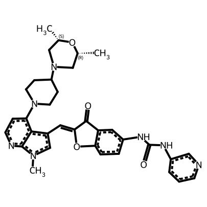 C[C@@H]1CN(C2CCN(c3ccnc4c3c(C=C3Oc5ccc(NC(=O)Nc6cccnc6)cc5C3=O)cn4C)CC2)C[C@H](C)O1